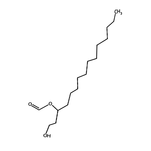 CCCCCCCCCCCCC(CCO)OC=O